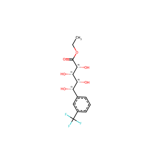 CCOC(=O)[C@H](O)[C@@H](O)[C@H](O)[C@@H](O)c1cccc(C(F)(F)F)c1